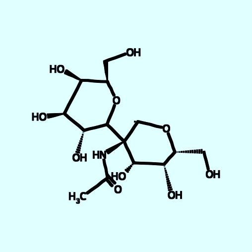 CC(=O)N[C@@]1(C2O[C@H](CO)[C@H](O)[C@H](O)[C@H]2O)[CH]O[C@H](CO)[C@H](O)[C@@H]1O